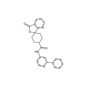 O=C1OC2(CCC(C(=O)Nc3ccnc(-c4ccccc4)c3)CC2)c2ncccc21